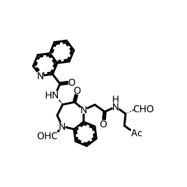 CC(=O)C[C@@H](C=O)NC(=O)CN1C(=O)[C@@H](NC(=O)c2nccc3ccccc23)CN(C=O)c2ccccc21